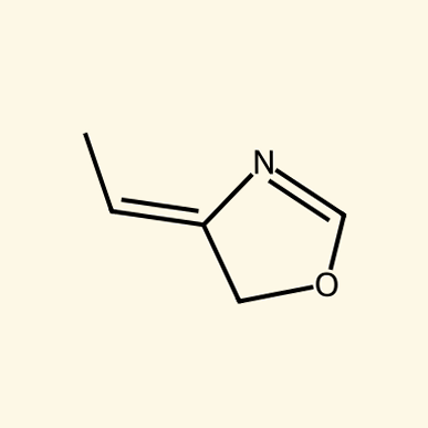 CC=C1COC=N1